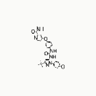 CNC(=O)c1cc(Oc2ccc(NC(=O)Nc3cc(C(C)(C)C)nn3-c3ccc(OC)cc3)cc2)ccn1